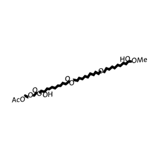 COCC(O)CCCCCCCCCOCCCCCCCCCCOC(=O)CCCCCCCCC(O)COC(=O)COCCOC(C)=O